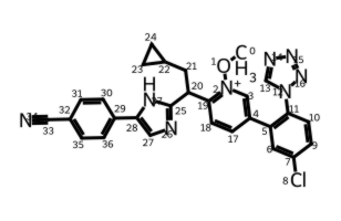 CO[n+]1cc(-c2cc(Cl)ccc2-n2cnnn2)ccc1C(CC1CC1)c1ncc(-c2ccc(C#N)cc2)[nH]1